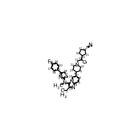 CCc1nc2ccc(C3CCN(CC(=O)C4CC[C@H](C#N)C4)CC3)cn2c1N(C)c1nc(-c2ccc(F)cc2)cs1